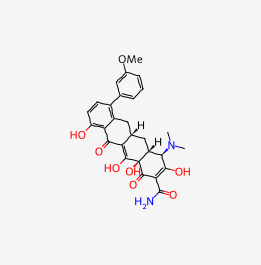 COc1cccc(-c2ccc(O)c3c2C[C@@H]2C[C@@H]4[C@@H](N(C)C)C(O)=C(C(N)=O)C(=O)[C@]4(O)C(O)=C2C3=O)c1